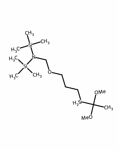 COC(C)(OC)[SiH2]CCCOCN([Si](C)(C)C)[Si](C)(C)C